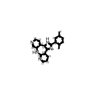 Cc1ccc(C)c(-c2nc3c([nH]2)-c2ccncc2Nc2ncccc2-3)c1